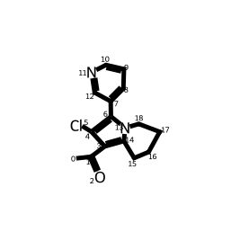 CC(=O)c1c(Cl)c(-c2cccnc2)n2c1CCCC2